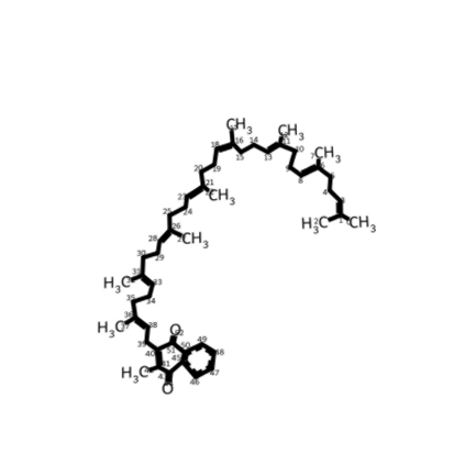 CC(C)=CCC/C(C)=C/CC/C(C)=C/CC/C(C)=C\CC/C(C)=C/CC/C(C)=C/CC/C(C)=C/CC/C(C)=C/CC1=C(C)C(=O)c2ccccc2C1=O